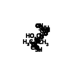 Cc1c(-c2ccc(-c3ccc4cncc(C(=O)Nc5nc6ccccc6s5)c4c3)nc2C(=O)O)cnn1CC12CC3(C)CC(C)(C1)CC(OS)(C3)C2